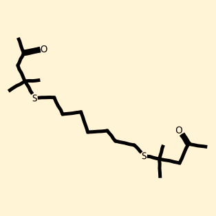 CC(=O)CC(C)(C)SCCCCCCCSC(C)(C)CC(C)=O